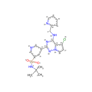 CC(C)(C)NS(=O)(=O)c1cncc(-c2nc(NCc3ccccn3)c3c(Cl)ccn3n2)c1